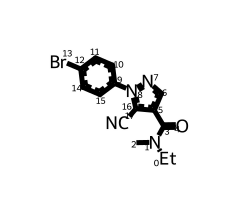 CCN(C)C(=O)c1cnn(-c2ccc(Br)cc2)c1C#N